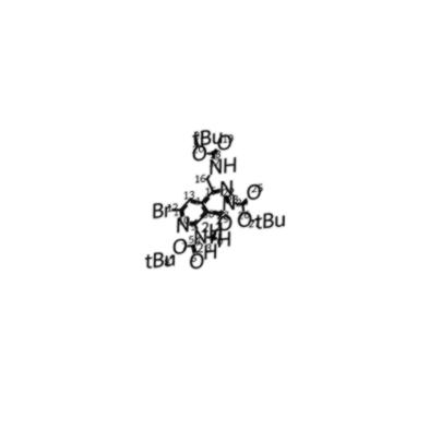 [2H]C([2H])([2H])N(C(=O)OC(C)(C)C)c1nc(Br)cc2c(CNC(=O)OC(C)(C)C)nn(C(=O)OC(C)(C)C)c(=O)c12